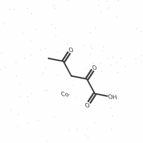 CC(=O)CC(=O)C(=O)O.[Co]